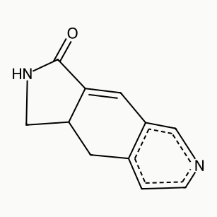 O=C1NCC2Cc3ccncc3C=C12